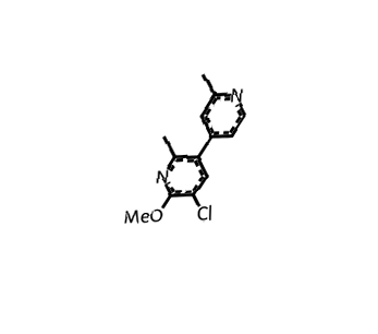 COc1nc(C)c(-c2ccnc(C)c2)cc1Cl